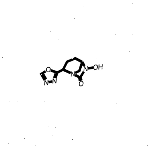 O=C1N(O)C2CCC(c3nnco3)N1C2